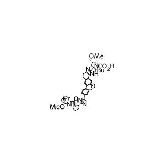 COC[C@@H]1CN(C(=O)O)[C@](c2nc3c([nH]2)-c2cc4c(cc2CC3)-c2ccc(-c3cnc([C@@H]5CC[C@H](C)N5C(=O)[C@@H](NC(=O)OC)C(C)C)[nH]3)cc2CO4)(C(C)(C)C)C1